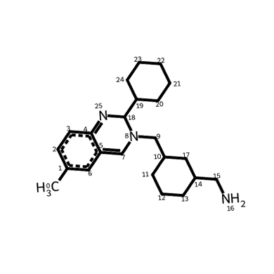 Cc1ccc2c(c1)=CN(CC1CCCC(CN)C1)C(C1CCCCC1)N=2